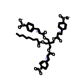 CCCCCCCC(=O)OCC(COC(=O)/C=C/c1ccc([N+](=O)[O-])cc1)(COC(=O)/C=C/c1ccc([N+](=O)[O-])cc1)COC(=O)/C=C/c1ccc([N+](=O)[O-])cc1